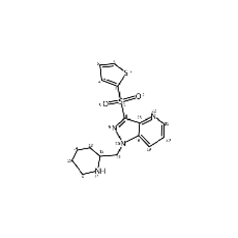 O=S(=O)(c1cccs1)c1nn(CC2CCCCN2)c2cccnc12